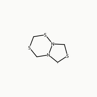 [CH]1SCN2SCSCN12